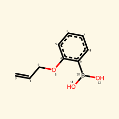 C=CCOc1ccccc1B(O)O